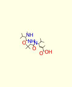 CN[C@H](C(=O)N[C@H](C(=O)N(C)[C@H](/C=C(\C)C(=O)O)C(C)C)C(C)(C)C)C(C)C